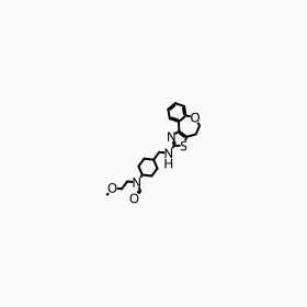 COCCN(C=O)C1CCC(CNc2nc3c(s2)CCOc2ccccc2-3)CC1